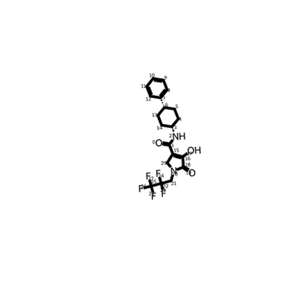 O=C(N[C@H]1CC[C@@H](c2ccccc2)CC1)C1=C(O)C(=O)N(CC(F)(F)C(F)(F)F)C1